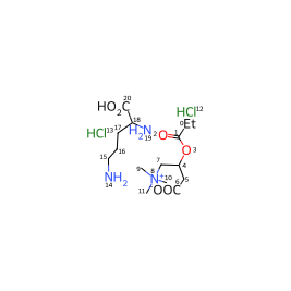 CCC(=O)OC(CC(=O)[O-])C[N+](C)(C)C.Cl.Cl.NCCCC(N)C(=O)O